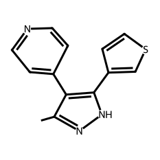 Cc1n[nH]c(-c2ccsc2)c1-c1ccncc1